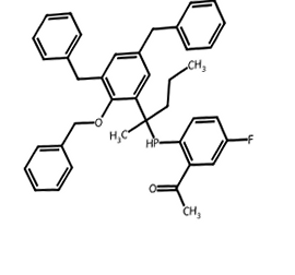 CCCC(C)(Pc1ccc(F)cc1C(C)=O)c1cc(Cc2ccccc2)cc(Cc2ccccc2)c1OCc1ccccc1